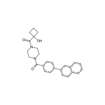 O=C(c1ccc(-c2ccc3ccccc3c2)cc1)N1CCN(C(=O)C2(O)CCC2)CC1